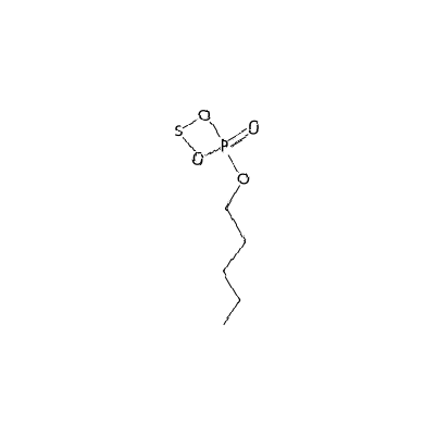 CCCCCOP1(=O)OSO1